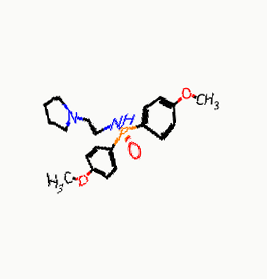 COc1ccc(P(=O)(NCCN2CCCC2)c2ccc(OC)cc2)cc1